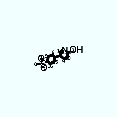 CS(=O)(=O)c1ccc(-c2ccc(O)nc2)cc1